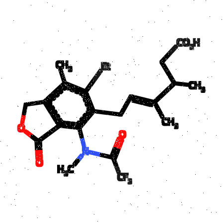 CCc1c(C)c2c(c(N(C)C(=O)C(F)(F)F)c1C/C=C(\C)C(C)CC(=O)O)C(=O)OC2